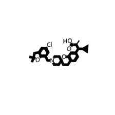 C[C@H](C(=O)O)C(c1ccc2c(c1)OC1(CC2)CCN(Cc2cc(Cl)cc3c2OC(C)(C)C3)CC1)C1CC1